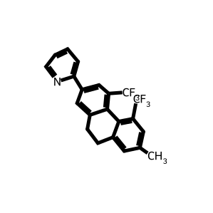 Cc1cc2c(c(C(F)(F)F)c1)-c1c(cc(-c3ccccn3)cc1C(F)(F)F)CC2